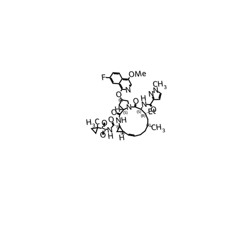 CC[C@@H]1C[C@H](C)CCC=C[C@@H]2C[C@@]2(C(=O)NS(=O)(=O)C2(C)CC2)NC(=O)[C@@H]2C[C@@H](Oc3ncc(OC)c4ccc(F)cc34)CN2C(=O)[C@H]1NC(=O)c1ccn(C)n1